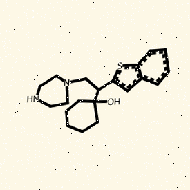 OC1(C(CN2CCNCC2)c2cc3ccccc3s2)CCCCC1